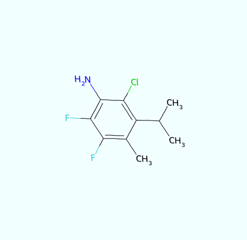 Cc1c(F)c(F)c(N)c(Cl)c1C(C)C